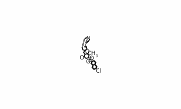 CC12CC(S(=O)(=O)c3ccc4cc(Cl)ccc4c3)CC(=O)C1CC1(CCN(CN3C=CN=CC3)CC1)O2